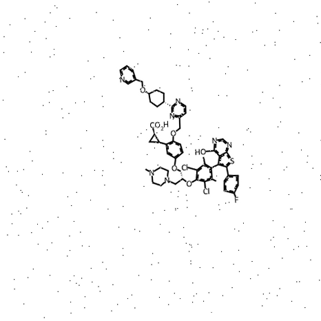 Cc1c(Cl)c(O[C@@H](COc2ccc(OCc3ccnc([C@H]4CC[C@H](OCc5cccnc5)CC4)n3)c(C3C[C@H]3C(=O)O)c2)CN2CCN(C)CC2)c(Cl)c(C)c1-c1c(-c2ccc(F)cc2)sc2ncnc(O)c12